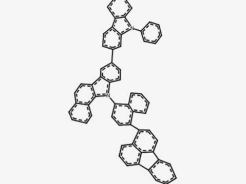 c1ccc(-n2c3ccccc3c3ccc(-c4ccc5c(c4)c4ccc6ccccc6c4n5-c4ccc(-c5ccc6c7c(cccc57)-c5ccccc5-6)c5ccccc45)cc32)cc1